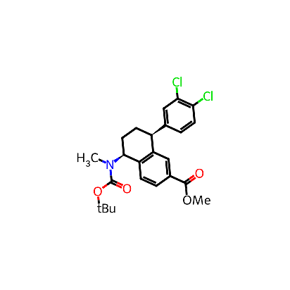 COC(=O)c1ccc2c(c1)[C@H](c1ccc(Cl)c(Cl)c1)CC[C@@H]2N(C)C(=O)OC(C)(C)C